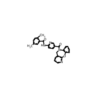 Cc1ccc(C)c(C(=O)Nc2ccc(C(=O)N3Cc4cccnc4Oc4ccccc43)cn2)c1